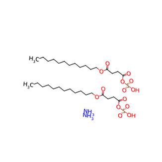 CCCCCCCCCCCCOC(=O)CCC(=O)OS(=O)(=O)O.CCCCCCCCCCCCOC(=O)CCC(=O)OS(=O)(=O)O.N.N